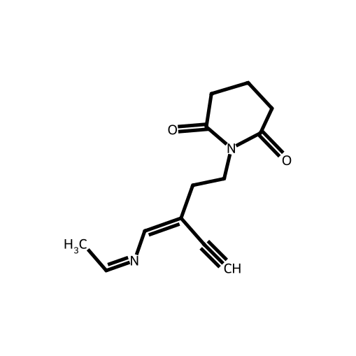 C#C/C(=C\N=C/C)CCN1C(=O)CCCC1=O